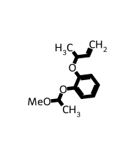 C=CC(C)Oc1ccccc1OC(C)OC